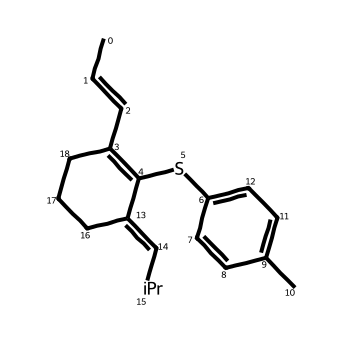 C/C=C/C1=C(Sc2ccc(C)cc2)C(=C/C(C)C)/CCC1